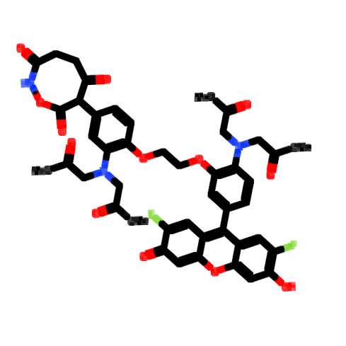 COC(=O)CN(CC(=O)OC)c1ccc(-c2c3cc(F)c(=O)cc-3oc3cc(O)c(F)cc23)cc1OCCOc1ccc(C2C(=O)CCC(=O)NOC2=O)cc1N(CC(=O)OC)CC(=O)OC